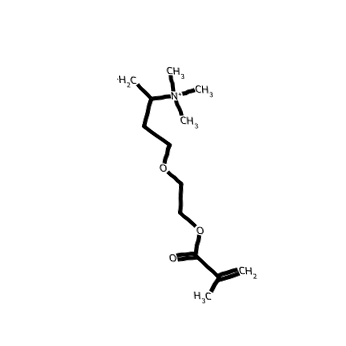 [CH2]C(CCOCCOC(=O)C(=C)C)[N+](C)(C)C